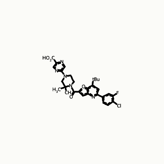 CC(C)(C)c1cc(-c2ccc(Cl)c(F)c2)nc2cc(C(=O)N3CCN(c4cnc(C(=O)O)cn4)CC3(C)C)oc12